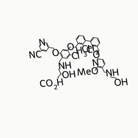 COc1nc(OCc2cccc(-c3cccc(COc4cc(OCc5cncc(C#N)c5)c(CNC[C@@H](O)CC(=O)O)cc4Cl)c3C)c2C)ccc1CNCCO